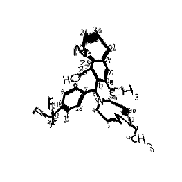 CCN1CCN(C(c2ccc(C(F)(F)F)cc2)c2c(C)cc3cccnc3c2O)CC1